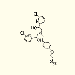 CCOCCOc1ccc(CCN(CC(O)c2cccc(Cl)n2)CC(O)c2cccc(Cl)n2)cc1